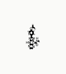 CNC(=O)Oc1nccnc1Nc1nc(-c2ccc(OC(C)C)cn2)ns1